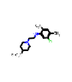 CCOC(=O)C1CCN(CCNc2cc(Cl)c(C)cc2[N+](=O)[O-])CC1